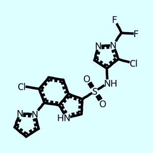 O=S(=O)(Nc1cnn(C(F)F)c1Cl)c1c[nH]c2c(-n3cccn3)c(Cl)ccc12